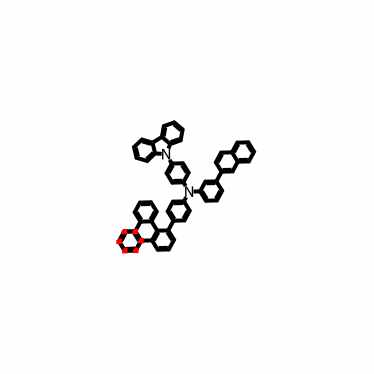 c1ccc(-c2ccccc2-c2c(-c3ccccc3)cccc2-c2ccc(N(c3ccc(-n4c5ccccc5c5ccccc54)cc3)c3cccc(-c4ccc5ccccc5c4)c3)cc2)cc1